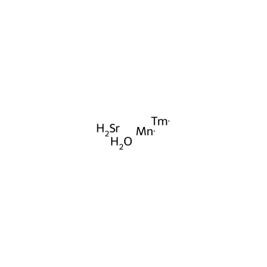 O.[Mn].[SrH2].[Tm]